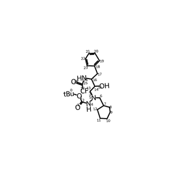 CC(C)(C)OC(=O)NN(CC1CCCCC1)CC(O)C(Cc1ccccc1)NC(=O)C(F)(F)F